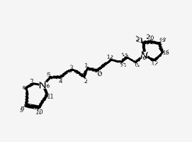 C(CCCCCN1CCCCC1)CCCCN1CCCCC1